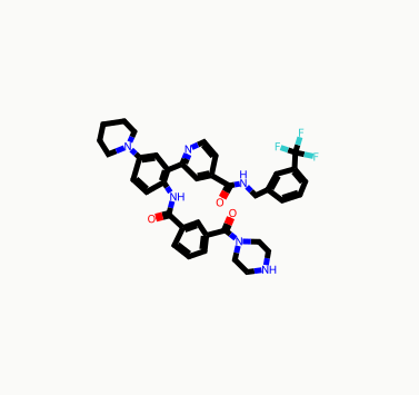 O=C(NCc1cccc(C(F)(F)F)c1)c1ccnc(-c2cc(N3CCCCC3)ccc2NC(=O)c2cccc(C(=O)N3CCNCC3)c2)c1